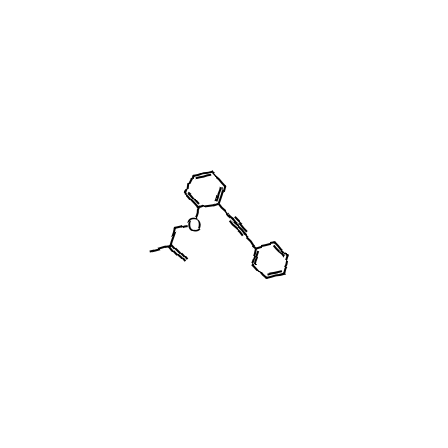 C=C(C)COc1ccccc1C#Cc1ccccc1